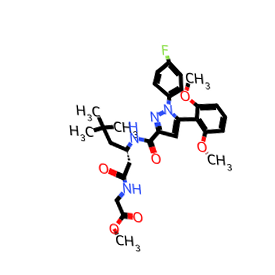 COC(=O)CNC(=O)C[C@H](CC(C)(C)C)NC(=O)c1cc(-c2c(OC)cccc2OC)n(-c2ccc(F)cc2)n1